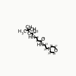 CC(C)(C)OC(=O)NCCC(=O)NCCN1CCOCC1